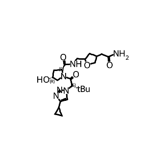 CC(C)(C)[C@@H](C(=O)N1C[C@H](O)C[C@H]1C(=O)NCC1CC(CC(N)=O)CO1)n1cc(C2CC2)nn1